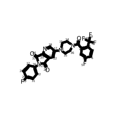 O=C(c1cc(F)ccc1C(F)(F)F)N1CCN(c2cnc3c(c2)C(=O)N(c2ccc(F)cc2)C3=O)CC1